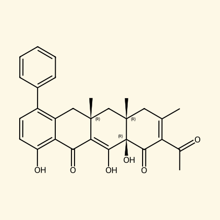 CC(=O)C1=C(C)C[C@@]2(C)C[C@@]3(C)Cc4c(-c5ccccc5)ccc(O)c4C(=O)C3=C(O)[C@@]2(O)C1=O